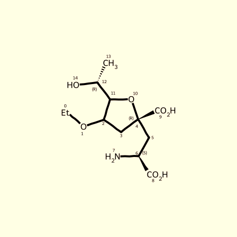 CCOC1C[C@](C[C@H](N)C(=O)O)(C(=O)O)OC1[C@@H](C)O